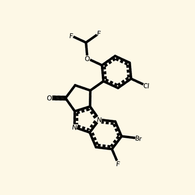 O=C1CC(c2cc(Cl)ccc2OC(F)F)c2c1nc1cc(F)c(Br)cn21